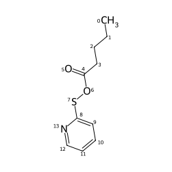 CCCCC(=O)OSc1ccccn1